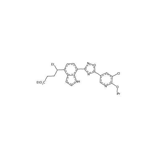 CCOC(=O)CCC(CC)c1ccc(-c2noc(-c3cnc(OC(C)C)c(Cl)c3)n2)c2[nH]ccc12